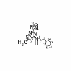 Cc1cc2c(NCCCc3ccccc3)nc(-c3ncon3)nc2s1